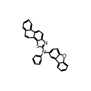 c1ccc(N(c2ccc3oc4ccccc4c3c2)c2nc3ccc4c5ccccc5ccc4c3s2)cc1